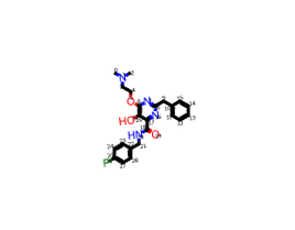 CN(C)CCOc1nc(Cc2ccccc2)nc(C(=O)NCc2ccc(F)cc2)c1O